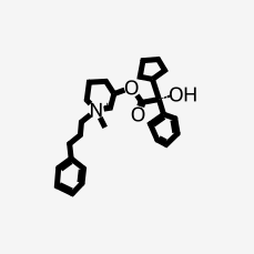 C[N+]1(CCCc2ccccc2)CCCC(OC(=O)[C@](O)(c2ccccc2)C2CCCC2)C1